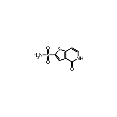 NS(=O)(=O)c1cc2c(=O)[nH]ccc2s1